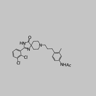 CC(=O)Nc1ccc(CCCN2CCC3(CC2)N=C(c2cccc(Cl)c2Cl)NC3=O)c(C)c1